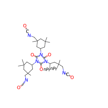 CCCC(CC(C)(CCC)CN=C=O)n1c(=O)n(C2CC(C)(C)CC(C)(CN=C=O)C2)c(=O)n(C2CC(C)(C)CC(C)(CN=C=O)C2)c1=O